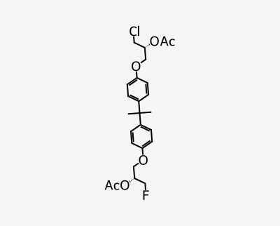 CC(=O)O[C@@H](CF)COc1ccc(C(C)(C)c2ccc(OC[C@H](CCl)OC(C)=O)cc2)cc1